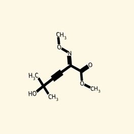 CO/N=C(\C#CC(C)(C)O)C(=O)OC